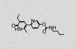 CCCCNC(=O)Oc1ccc(-c2cc(CC)c(=O)[nH]c2C)nc1